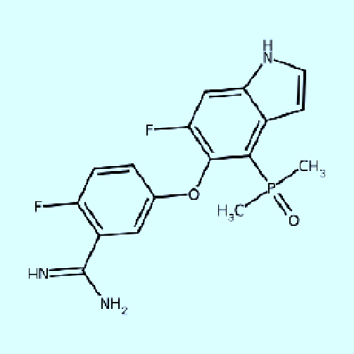 CP(C)(=O)c1c(Oc2ccc(F)c(C(=N)N)c2)c(F)cc2[nH]ccc12